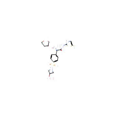 O=C(Nc1ncc(F)s1)/C(=N/O[C@@H]1CCOC1)c1ccc(S(=O)(=O)N2CC(O)C2)cc1